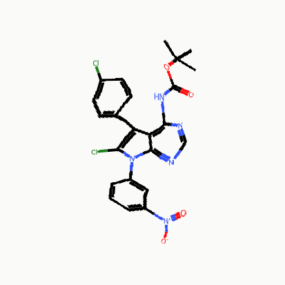 CC(C)(C)OC(=O)Nc1ncnc2c1c(-c1ccc(Cl)cc1)c(Cl)n2-c1cccc([N+](=O)[O-])c1